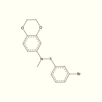 CN(Sc1cccc(Br)c1)c1ccc2c(c1)OCCO2